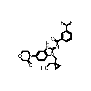 O=C(/N=c1\[nH]c2cc(N3CCOCC3=O)ccc2n1CC1(CO)CC1)c1cccc(C(F)F)c1